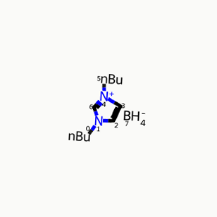 CCCCn1cc[n+](CCCC)c1.[BH4-]